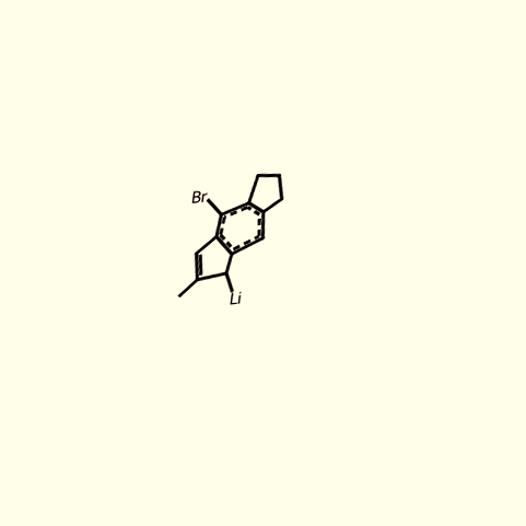 [Li][CH]1C(C)=Cc2c1cc1c(c2Br)CCC1